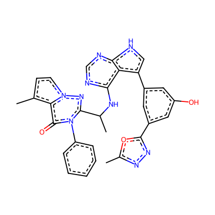 Cc1nnc(-c2cc(O)cc(-c3c[nH]c4ncnc(NC(C)c5nn6ccc(C)c6c(=O)n5-c5ccccc5)c34)c2)o1